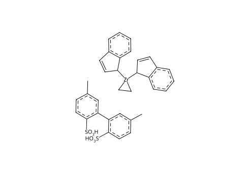 C1=C[CH]([Zr]2([CH]3C=Cc4ccccc43)[CH2][CH2]2)c2ccccc21.Cc1ccc(S(=O)(=O)O)c(-c2cc(C)ccc2S(=O)(=O)O)c1